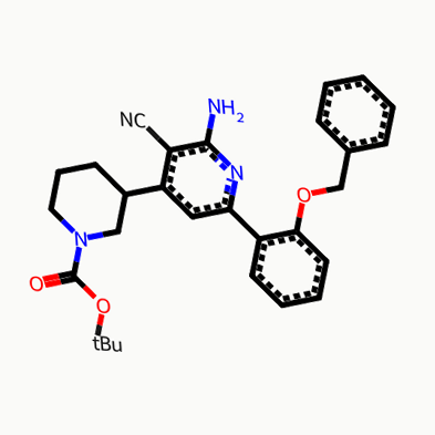 CC(C)(C)OC(=O)N1CCCC(c2cc(-c3ccccc3OCc3ccccc3)nc(N)c2C#N)C1